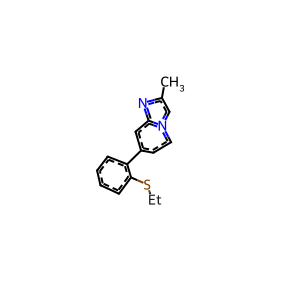 CCSc1ccccc1-c1ccn2cc(C)nc2c1